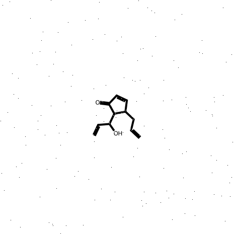 C=CCC1C=CC(=O)C1C(O)C=C